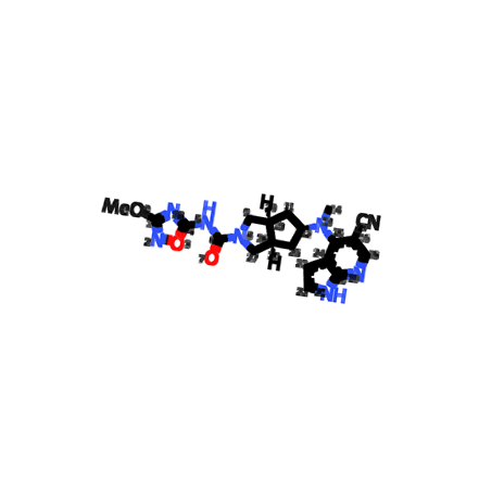 COc1noc(NC(=O)N2C[C@H]3C[C@@H](N(C)c4c(C#N)cnc5[nH]ccc45)C[C@H]3C2)n1